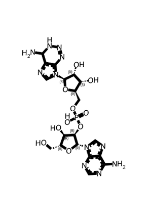 Nc1ncnc2c1ncn2[C@@H]1O[C@H](CO)[C@@H](O)[C@H]1OP(=O)(O)OC[C@H]1O[C@@H](n2cnc3c2N=NNC3N)[C@H](O)[C@@H]1O